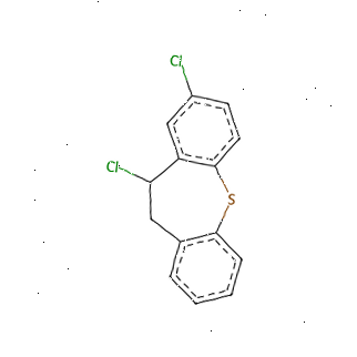 Clc1ccc2c(c1)C(Cl)Cc1ccccc1S2